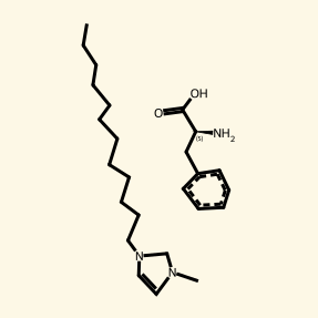 CCCCCCCCCCCCN1C=CN(C)C1.N[C@@H](Cc1ccccc1)C(=O)O